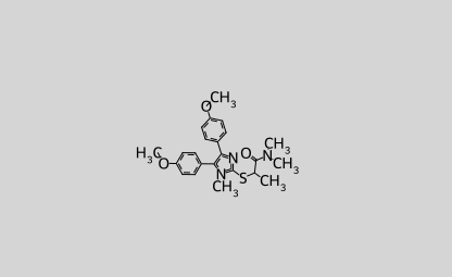 COc1ccc(-c2nc(SC(C)C(=O)N(C)C)n(C)c2-c2ccc(OC)cc2)cc1